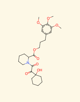 COc1cc(CCCOC(=O)C2CCCCN2C(=O)C(=O)C2(O)CCCCC2)cc(OC)c1OC